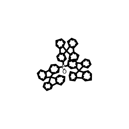 O=P(c1ccc2c(c1)C1(c3ccccc3-c3ccccc31)c1ccccc1-2)(c1ccc2c(c1)C1(c3ccccc3-c3ccccc31)c1ccccc1-2)c1ccc2c(c1)C1(c3ccccc3-c3ccccc31)c1ccccc1-2